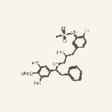 COc1c(O)cc(C(Cc2ccccc2)NC[C@@H](O)Cc2ccc(O)c(NS(C)(=O)=O)c2)cc1O